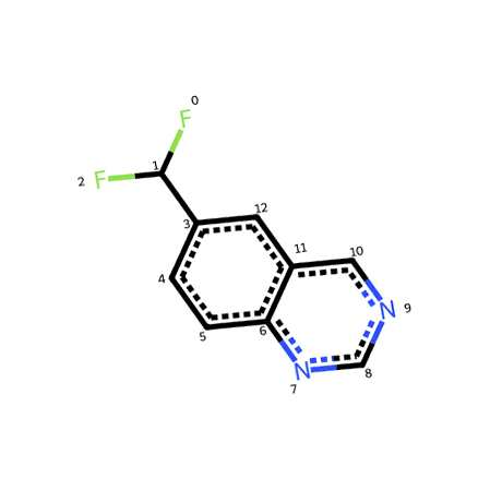 FC(F)c1ccc2ncncc2c1